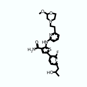 COC1CN(CCc2cccc(Nc3sc(-c4ccc(CC(C)O)cc4F)cc3C(N)=O)n2)CCO1